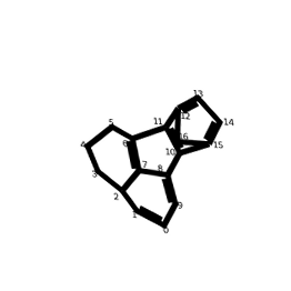 C1=CC2CCCC3=C2C(=C1)C1=C3C2=CC=C1C2